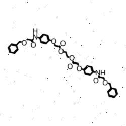 O=C(COCc1ccccc1)Nc1ccc(OCC(=O)OCCOC(=O)COc2ccc(NC(=O)COCc3ccccc3)cc2)cc1